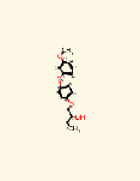 CCC(O)COc1ccc(Oc2cccc(OC)c2)cc1